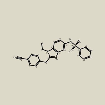 CCn1c(Cc2ccc(C#N)cc2)nc2cc(NS(=O)(=O)c3ccccc3)ccc21